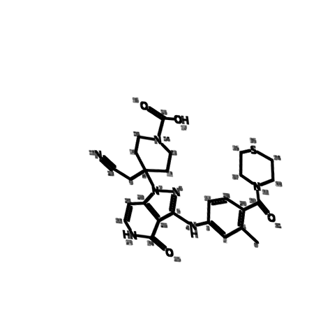 Cc1cc(Nc2nn(C3(CC#N)CCN(C(=O)O)CC3)c3cc[nH]c(=O)c23)ccc1C(=O)N1CCSCC1